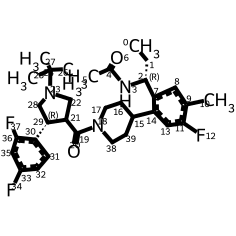 CC[C@@H](NC(C)=O)c1cc(C)c(F)cc1C1CCN(C(=O)C2CN(C(C)(C)C)C[C@H]2c2ccc(F)cc2F)CC1